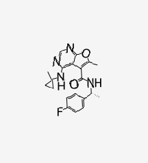 Cc1oc2ncnc(NC3(C)CC3)c2c1C(=O)N[C@H](C)c1ccc(F)cc1